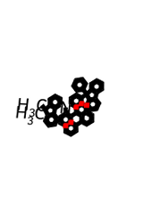 CC1(C)c2ccccc2-c2c(N(c3ccc(C4(c5ccccc5)c5ccccc5-c5ccccc54)cc3)c3ccccc3-c3cccc4cccc(-c5ccccc5)c34)cccc21